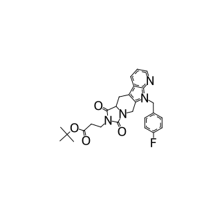 CC(C)(C)OC(=O)CCN1C(=O)C2Cc3c(n(Cc4ccc(F)cc4)c4ncccc34)CN2C1=O